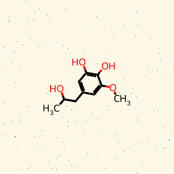 COc1cc(CC(C)O)cc(O)c1O